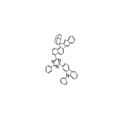 c1ccc(-c2nc(-c3ccc4c5ccccc5n(-c5ccccc5)c4c3)nc(-c3cccc4c5c(ccc34)-c3cc4ccccc4cc3C53C4CC5CC(C4)CC3C5)n2)cc1